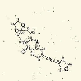 O=c1c2ccc(C#Cc3ccoc3)cc2nc2n1CCC1(CC2)OCCO1